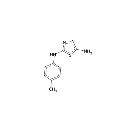 Cc1ccc(Nc2nnc(N)s2)cc1